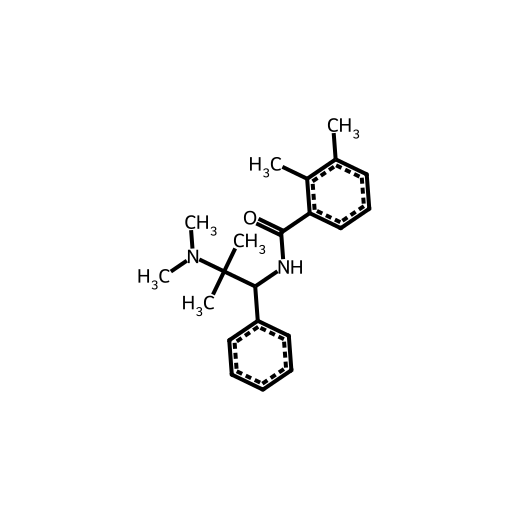 Cc1cccc(C(=O)NC(c2ccccc2)C(C)(C)N(C)C)c1C